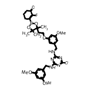 COc1cc(CNc2nc(Cl)nc(NCc3cc(OC)cc(OCCC4(C)OB(C5=C(F)C(=O)CCC5)OC4(C)C)c3)n2)cc(OC)c1